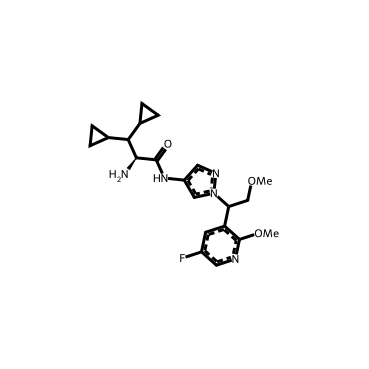 COCC(c1cc(F)cnc1OC)n1cc(NC(=O)[C@@H](N)C(C2CC2)C2CC2)cn1